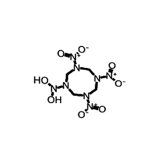 O=[N+]([O-])N1CN(N(O)O)CN([N+](=O)[O-])CN([N+](=O)[O-])C1